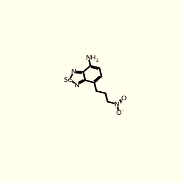 Nc1ccc(CCC[N+](=O)[O-])c2n[se]nc12